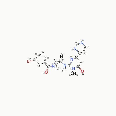 Cn1c(N2CC3C[C@H]2CN3C(=O)c2cccc(Br)c2)nc(-c2ccncn2)cc1=O